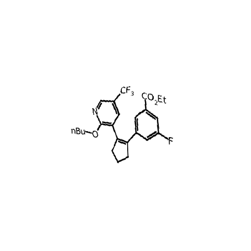 CCCCOc1ncc(C(F)(F)F)cc1C1=C(c2cc(F)cc(C(=O)OCC)c2)CCC1